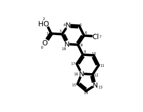 O=C(O)c1ncc(Cl)c(-c2ccc3nccn3c2)n1